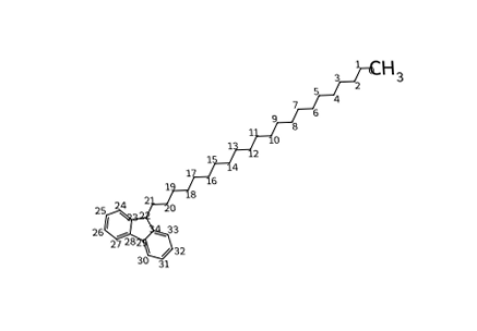 CCCCCCCCCCCCCCCCCCCCCCC1c2ccccc2-c2ccccc21